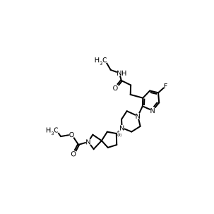 CCNC(=O)CCc1cc(F)cnc1N1CCN([C@@H]2CCC3(C2)CN(C(=O)OCC)C3)CC1